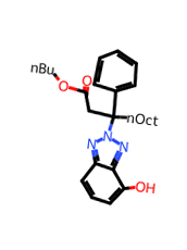 CCCCCCCCC(CC(=O)OCCCC)(c1ccccc1)n1nc2cccc(O)c2n1